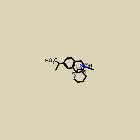 CC(C(=O)O)c1ccc2c(c1)[C@]13CCCC[C@@H]1[C@H](C2)N(C)CC3